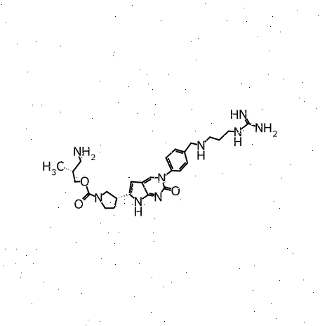 C[C@H](CN)COC(=O)N1CC[C@@H](c2cc3cn(-c4ccc(CNCCCNC(=N)N)cc4)c(=O)nc3[nH]2)C1